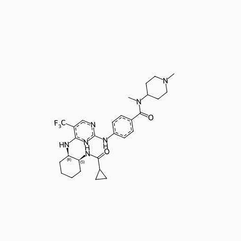 CN1CCC(N(C)C(=O)c2ccc(Nc3ncc(C(F)(F)F)c(N[C@@H]4CCCC[C@@H]4NC(=O)C4CC4)n3)cc2)CC1